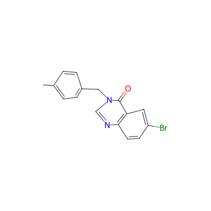 Cc1ccc(Cn2cnc3ccc(Br)cc3c2=O)cc1